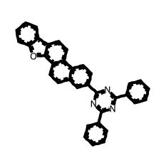 c1ccc(-c2nc(-c3ccccc3)nc(-c3ccc4c(ccc5c4ccc4c6ccccc6oc45)c3)n2)cc1